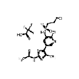 CC(=O)Nc1nc(C)c(-c2cnc(Cl)c(NS(=O)(=O)CCCCl)c2)s1.O=C(O)C(F)(F)F